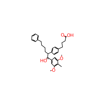 COc1cc([C@@H](O)C(CCCCc2ccccc2)c2ccc(CCCC(=O)O)cc2)cc(OC)c1C